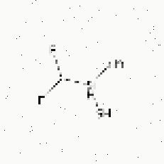 CCC[SiH](S)C(F)F